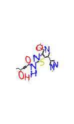 COc1ncc(-c2cnn(C)c2)c2sc(NC(=O)C#CC(C)O)nc12